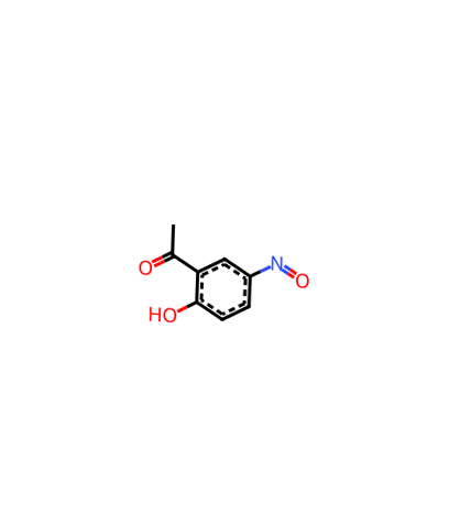 CC(=O)c1cc(N=O)ccc1O